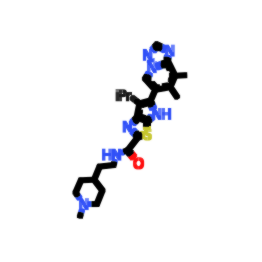 Cc1c(-c2[nH]c3sc(C(=O)NCCC4CCN(C)CC4)nc3c2C(C)C)cn2ncnc2c1C